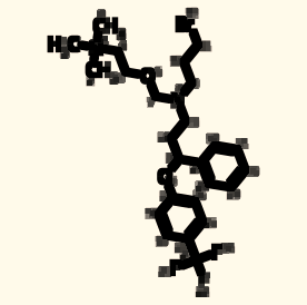 C[Si](C)(C)CCOCN(CCCBr)CCC(Oc1ccc(C(F)(F)F)cc1)c1ccccc1